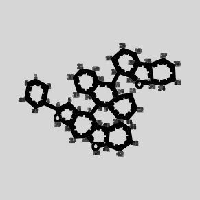 c1ccc(-c2cc3c(-c4c5ccccc5c(-c5cccc6c5oc5ccccc56)c5ccccc45)c4c(cc3o2)oc2ccccc24)cc1